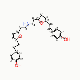 Oc1ccc(CCC2CCC(CCNCCC3CCC(CCc4ccc(O)cc4)O3)O2)cc1